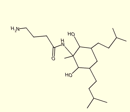 CC(C)CCC1CC(CCC(C)C)C(O)C(C)(NC(=O)CCCN)C1O